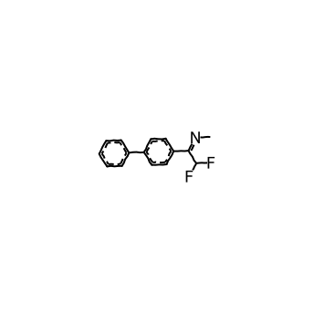 CN=C(c1ccc(-c2ccccc2)cc1)C(F)F